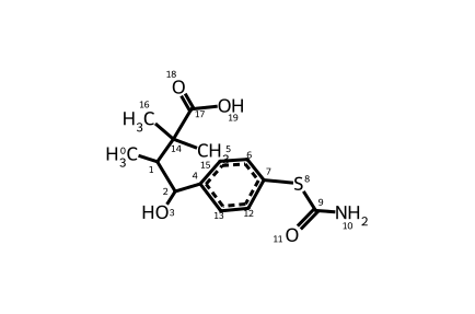 CC(C(O)c1ccc(SC(N)=O)cc1)C(C)(C)C(=O)O